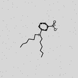 CCCCCCN(CCCCCC)c1cccc([N+](=O)[O-])c1